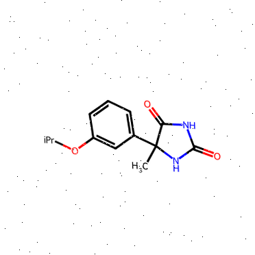 CC(C)Oc1cccc(C2(C)NC(=O)NC2=O)c1